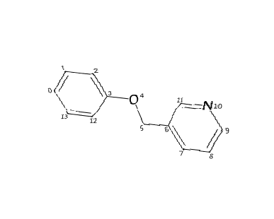 c1ccc(OCc2cccnc2)cc1